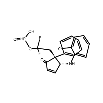 O=C1C=C[C@@H](Nc2ccccc2Cl)[C@@]1(CC(F)(F)O[PH](=O)O)c1ccccc1